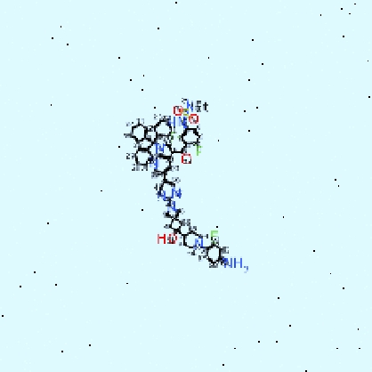 CCN(C)S(=O)(=O)Nc1ccc(F)c(C(=O)c2cn(C(c3ccccc3)(c3ccccc3)c3ccccc3)c3ncc(-c4cnc(N5CC6(C5)CC(O)(C5CCN(c7ccc(N)cc7F)CC5)C6)nc4)cc23)c1F